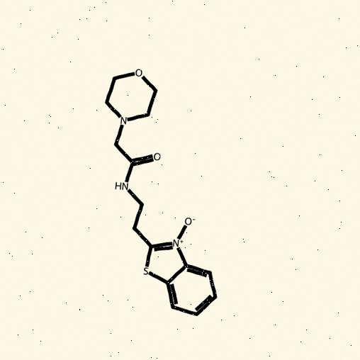 O=C(CN1CCOCC1)NCCc1sc2ccccc2[n+]1[O-]